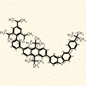 CC(C)c1cc(C(C)C)c(-c2cccc(-c3ccc4c(C(C)(C)C)c5cc(-c6ccc7sc8ccc(-c9ccc(C(C)(C)C)cc9)cc8c7c6)ccc5c(C(C)(C)C)c4c3)c2)c(C(C)C)c1